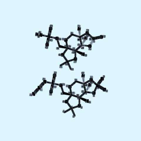 CC1(C)O[C@H]2[C@@H]3OS(=O)(=O)O[C@@H]3CO[C@@]2(COS(=O)(=O)N=[N+]=[N-])O1.CC1(C)O[C@H]2[C@@H]3O[S@@](=O)O[C@@H]3CO[C@@]2(COS(N)(=O)=O)O1